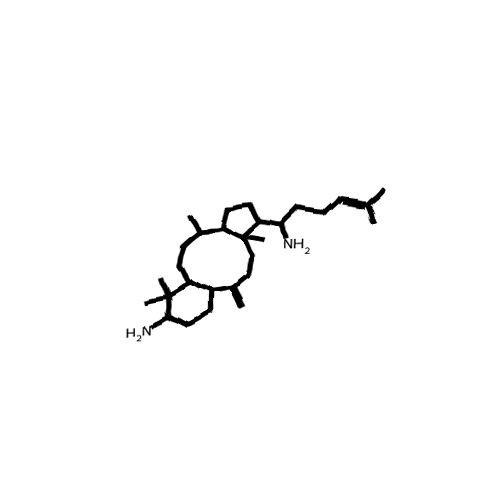 C=C1CCC2(C)C(CCC2C(N)CCC=C(C)C)C(C)CCC2C1CCC(N)C2(C)C